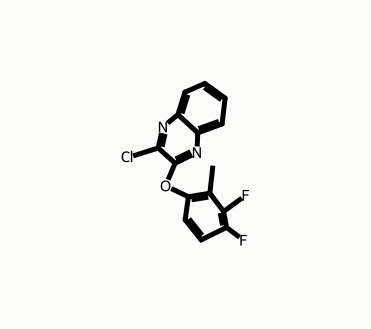 Cc1c(Oc2nc3ccccc3nc2Cl)ccc(F)c1F